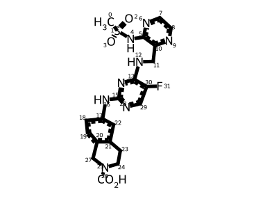 CS(=O)(=O)Nc1nccnc1CNc1nc(Nc2ccc3c(c2)CCN(C(=O)O)C3)ncc1F